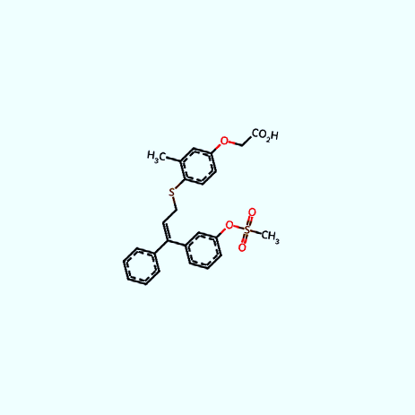 Cc1cc(OCC(=O)O)ccc1SC/C=C(/c1ccccc1)c1cccc(OS(C)(=O)=O)c1